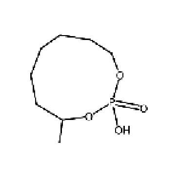 CC1CCCCCCOP(=O)(O)O1